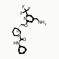 NCc1cc(OC[C@H]2CCCN(C(=O)Nc3ccccc3)C2)nc(C(F)(F)F)c1